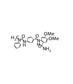 COc1cc(NC(=O)c2ccc(NC(=O)N(C)c3ccccc3)cc2)c(C(N)=O)cc1OC